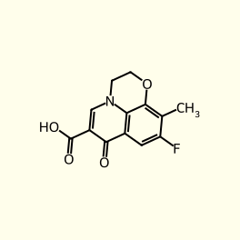 Cc1c(F)cc2c(=O)c(C(=O)O)cn3c2c1OCC3